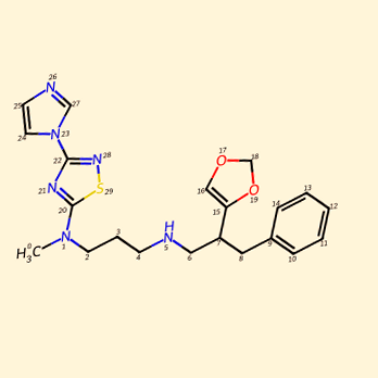 CN(CCCNCC(Cc1ccccc1)C1=COCO1)c1nc(-n2ccnc2)ns1